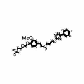 COc1cc(CCN(C)CCCOc2nsc(-c3ccccc3)n2)ccc1OCOCC[Si](C)(C)C